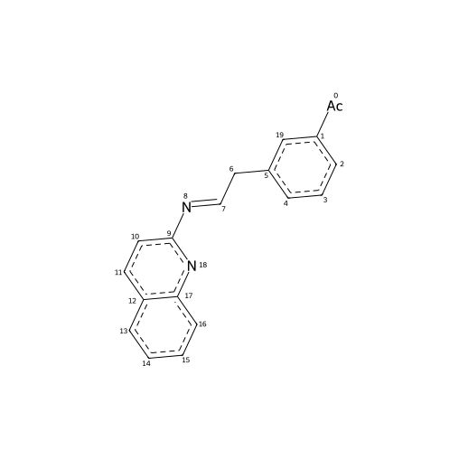 CC(=O)c1cccc(CC=Nc2ccc3ccccc3n2)c1